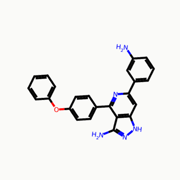 Nc1cccc(-c2cc3[nH]nc(N)c3c(-c3ccc(Oc4ccccc4)cc3)n2)c1